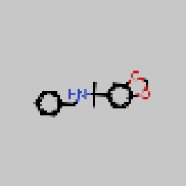 CC(C)(NCc1ccccc1)c1ccc2c(c1)OCO2